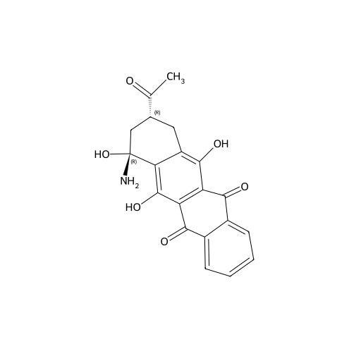 CC(=O)[C@@H]1Cc2c(O)c3c(c(O)c2[C@](N)(O)C1)C(=O)c1ccccc1C3=O